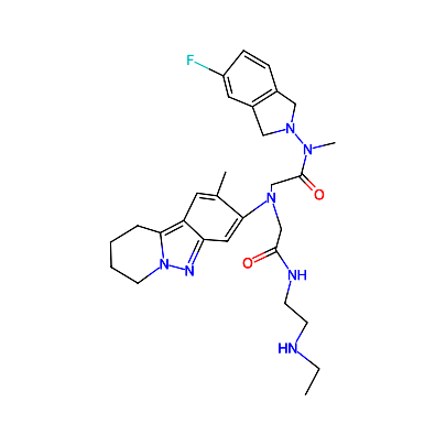 CCNCCNC(=O)CN(CC(=O)N(C)N1Cc2ccc(F)cc2C1)c1cc2nn3c(c2cc1C)CCCC3